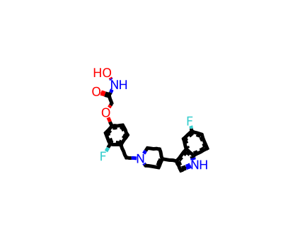 O=C(COc1ccc(CN2CC=C(c3c[nH]c4ccc(F)cc34)CC2)c(F)c1)NO